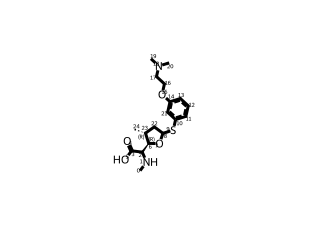 CNC(C(=O)O)[C@@H]1OC(Sc2cccc(OCCN(C)C)c2)C[C@H]1C